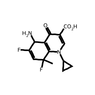 CC1(F)C=C(F)C(N)c2c1n(C1CC1)cc(C(=O)O)c2=O